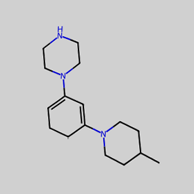 CC1CCN(C2=CC(N3CCNCC3)=CC[CH]2)CC1